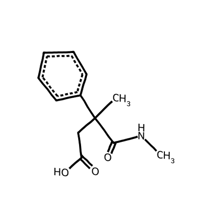 CNC(=O)C(C)(CC(=O)O)c1ccccc1